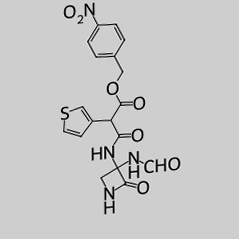 O=CNC1(NC(=O)C(C(=O)OCc2ccc([N+](=O)[O-])cc2)c2ccsc2)CNC1=O